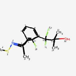 C/C(=N\SC(C)(C)C)c1cccc(C(F)(F)C(C)(C)O)c1F